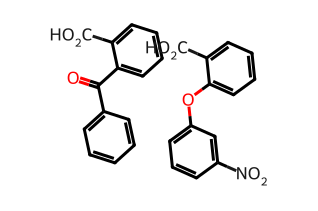 O=C(O)c1ccccc1C(=O)c1ccccc1.O=C(O)c1ccccc1Oc1cccc([N+](=O)[O-])c1